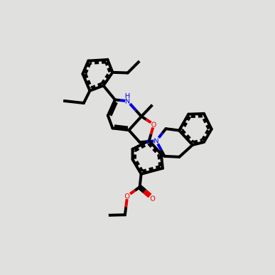 CCOC(=O)c1ccc(OC2(C)NC(c3c(CC)cccc3CC)=CC=C2CN2CCc3ccccc3C2)cc1